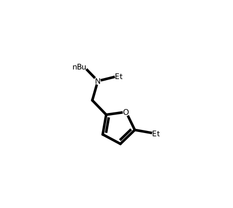 CCCCN(CC)Cc1ccc(CC)o1